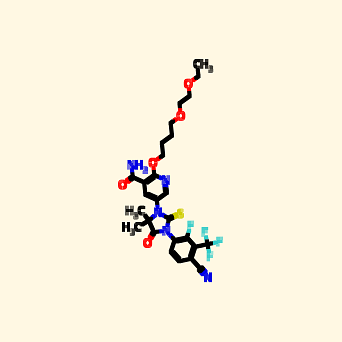 CCOCCOCCCCOc1ncc(N2C(=S)N(c3ccc(C#N)c(C(F)(F)F)c3F)C(=O)C2(C)C)cc1C(N)=O